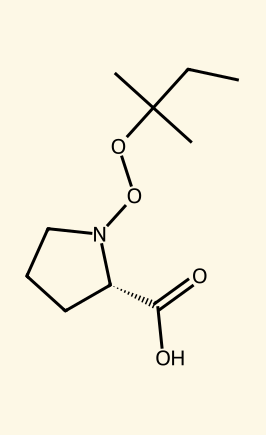 CCC(C)(C)OON1CCC[C@H]1C(=O)O